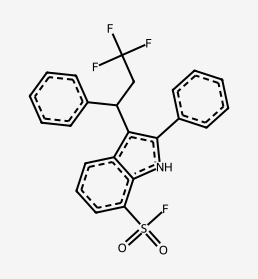 O=S(=O)(F)c1cccc2c(C(CC(F)(F)F)c3ccccc3)c(-c3ccccc3)[nH]c12